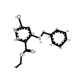 CCOC(=O)c1nnc(Cl)cc1SCc1ccccc1